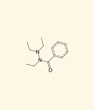 CCN(CC)N(CC)C(=O)c1cc[c]cc1